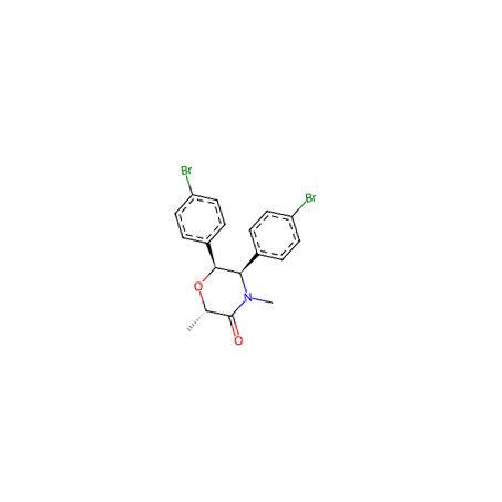 C[C@@H]1O[C@@H](c2ccc(Br)cc2)[C@@H](c2ccc(Br)cc2)N(C)C1=O